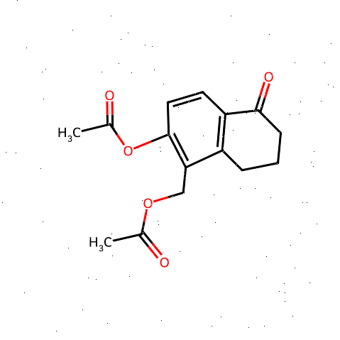 CC(=O)OCc1c(OC(C)=O)ccc2c1CCCC2=O